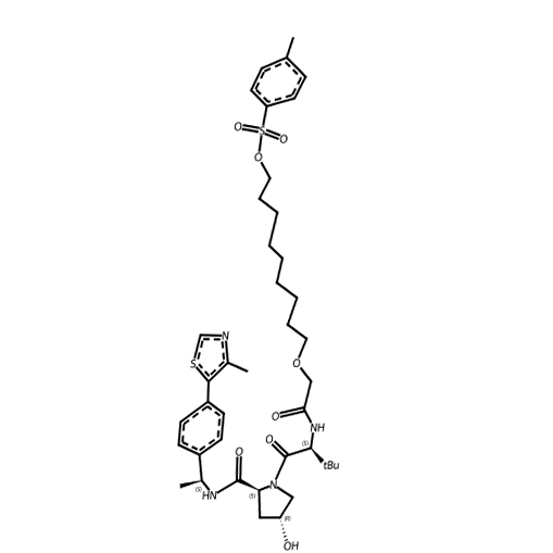 Cc1ccc(S(=O)(=O)OCCCCCCCCCOCC(=O)N[C@H](C(=O)N2C[C@H](O)C[C@H]2C(=O)N[C@@H](C)c2ccc(-c3scnc3C)cc2)C(C)(C)C)cc1